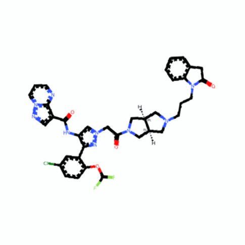 O=C(Nc1cn(CC(=O)N2C[C@H]3CN(CCCN4C(=O)Cc5ccccc54)C[C@H]3C2)nc1-c1cc(Cl)ccc1OC(F)F)c1cnn2cccnc12